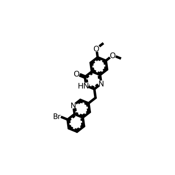 COc1cc2nc(Cc3cnc4c(Br)cccc4c3)[nH]c(=O)c2cc1OC